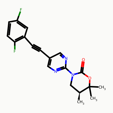 C[C@H]1CN(c2ncc(C#Cc3cc(F)ccc3F)cn2)C(=O)OC1(C)C